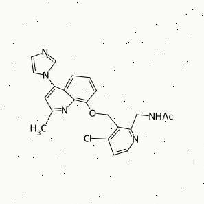 CC(=O)NCc1nccc(Cl)c1COc1cccc2c(-n3ccnc3)cc(C)nc12